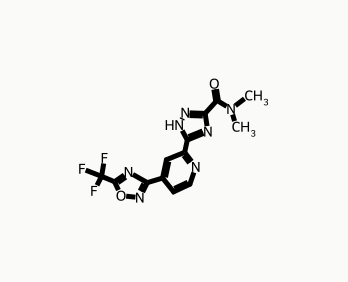 CN(C)C(=O)c1n[nH]c(-c2cc(-c3noc(C(F)(F)F)n3)ccn2)n1